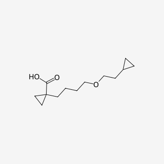 O=C(O)C1(CCCCOCCC2CC2)CC1